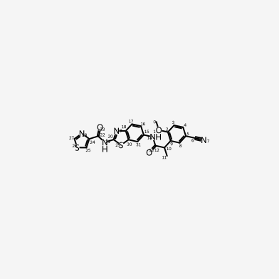 COc1ccc(C#N)cc1C(C)C(=O)Nc1ccc2nc(NC(=O)c3cscn3)sc2c1